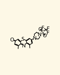 Cc1cc(=O)cc2sc3cc(N4CCN(S(=O)(=O)C(F)(F)F)CC4)cc(C)c3nc1-2